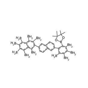 Bc1c(B)c(B)c(-c2ccc3cc(-c4c(B)c(B)c5c(B)c(B)c(B)c(B)c5c4B)ccc3c2)c(B2OC(C)(C)C(C)(C)O2)c1B